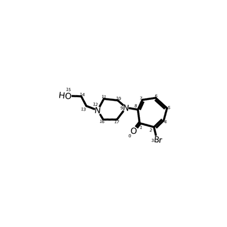 O=c1c(Br)ccccc1N1CCN(CCO)CC1